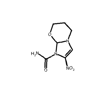 NC(=O)N1C([N+](=O)[O-])=CN2C[CH]COC21